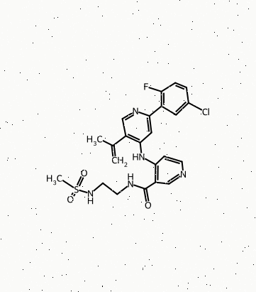 C=C(C)c1cnc(-c2cc(Cl)ccc2F)cc1Nc1ccncc1C(=O)NCCNS(C)(=O)=O